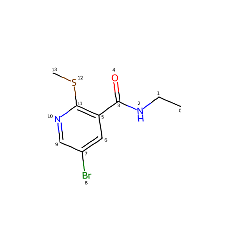 CCNC(=O)c1cc(Br)cnc1SC